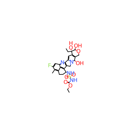 CCOC(=O)NS(=O)(=O)N[C@H]1CCc2c(C)c(F)cc3nc4c(c1c23)CN1C4=CC2=C(COC(O)[C@]2(O)CC)C1O